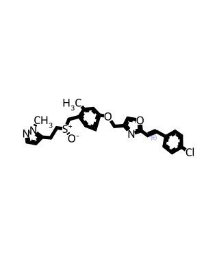 Cc1cc(OCc2coc(/C=C/c3ccc(Cl)cc3)n2)ccc1C[S+]([O-])CCc1ccnn1C